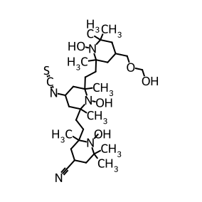 CC1(C)CC(C#N)CC(C)(CCC2(C)CC(N=C=S)CC(C)(CCC3(C)CC(COCO)CC(C)(C)N3O)N2O)N1O